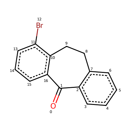 O=C1c2ccccc2CCc2c(Br)cccc21